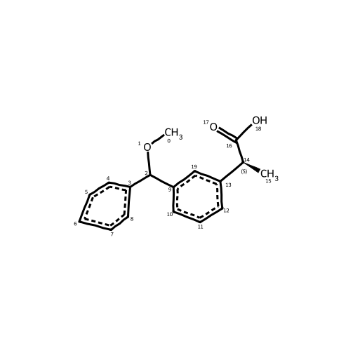 COC(c1ccccc1)c1cccc([C@H](C)C(=O)O)c1